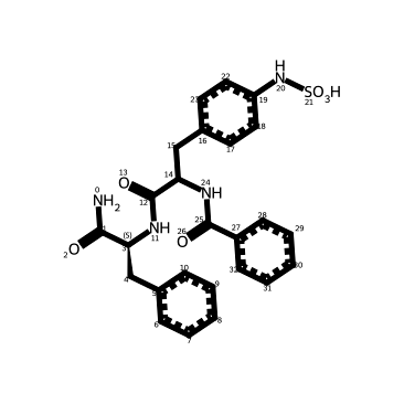 NC(=O)[C@H](Cc1ccccc1)NC(=O)C(Cc1ccc(NS(=O)(=O)O)cc1)NC(=O)c1ccccc1